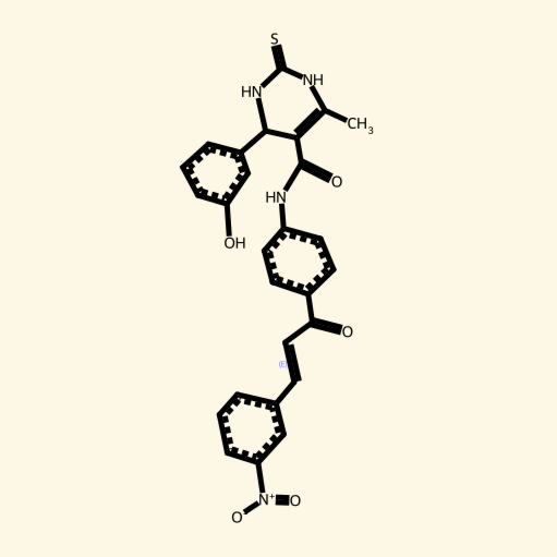 CC1=C(C(=O)Nc2ccc(C(=O)/C=C/c3cccc([N+](=O)[O-])c3)cc2)C(c2cccc(O)c2)NC(=S)N1